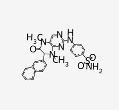 CN1C(=O)C(c2ccc3ccccc3c2)N(C)c2nc(Nc3ccc(S(N)(=O)=O)cc3)ncc21